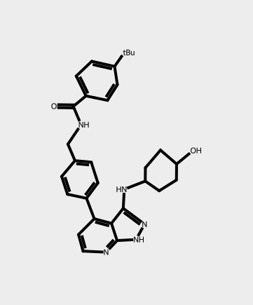 CC(C)(C)c1ccc(C(=O)NCc2ccc(-c3ccnc4[nH]nc(NC5CCC(O)CC5)c34)cc2)cc1